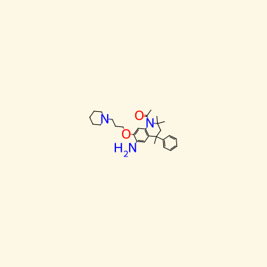 CC(=O)N1c2cc(OCCCN3CCCCC3)c(N)cc2C(C)(c2ccccc2)CC1(C)C